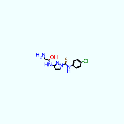 NCC(O)Nc1ccn(C(=S)Nc2ccc(Cl)cc2)n1